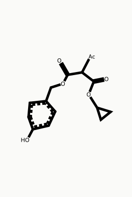 CC(=O)C(C(=O)OCc1ccc(O)cc1)C(=O)OC1CC1